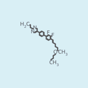 C=CCc1ncc(-c2ccc(-c3ccc(/C=C/CCCC(C)OCCCCC)c(F)c3F)cc2)cn1